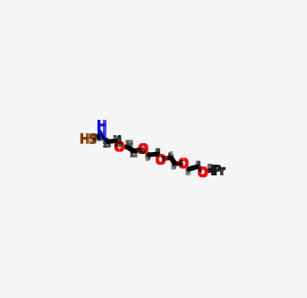 CC(C)OCCOCCOCCOCCOCCNS